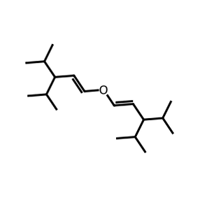 CC(C)C(C=COC=CC(C(C)C)C(C)C)C(C)C